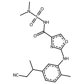 Cc1ccc(C(C)CC#N)cc1Nc1nc(C(=O)NS(=O)(=O)N(C)C)co1